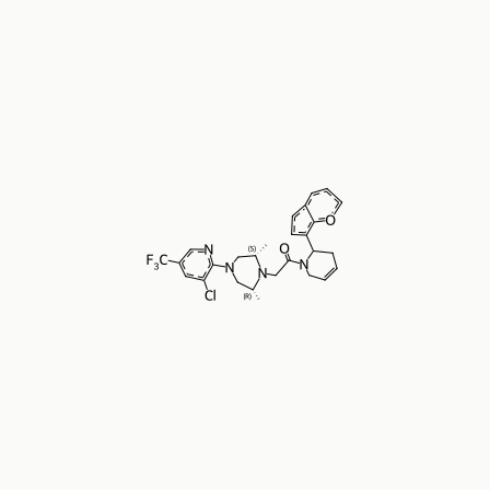 C[C@@H]1CN(c2ncc(C(F)(F)F)cc2Cl)C[C@H](C)N1CC(=O)N1CC=CCC1c1ccc2cccoc1-2